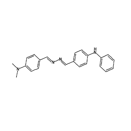 CN(C)c1ccc(/C=N/N=C/c2ccc(Nc3ccccc3)cc2)cc1